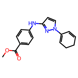 COC(=O)c1ccc(Nc2ccn(C3=CCCC=C3)n2)cc1